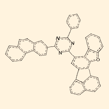 c1ccc(-c2nc(-c3ccc4c(ccc5ccccc54)c3)nc(-c3cc4c(c5oc6ccccc6c35)-c3cccc5cccc-4c35)n2)cc1